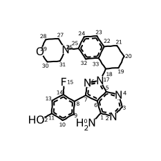 Nc1ncnc2c1c(-c1ccc(O)cc1F)nn2C1CCCc2ccc(N3CCOCC3)cc21